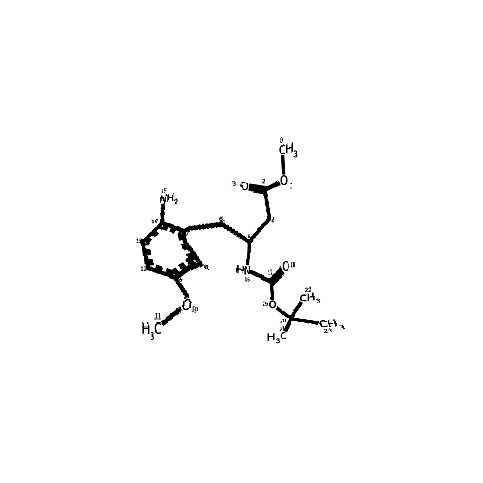 COC(=O)CC(Cc1cc(OC)ccc1N)NC(=O)OC(C)(C)C